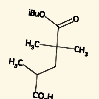 CC(C)COC(=O)C(C)(C)CC(C)C(=O)O